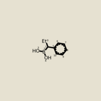 CCC(B(O)O)c1ccccc1